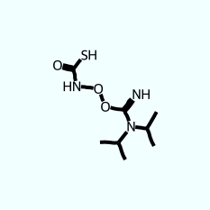 CC(C)N(C(=N)OONC(=O)S)C(C)C